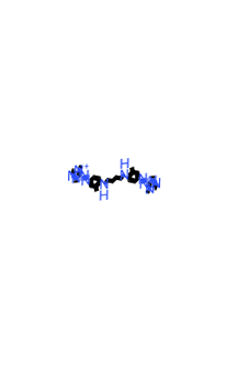 Cc1cc(N=Nc2n(C)nc[n+]2C)ccc1NCCCCNc1ccc(N=Nc2n(C)nc[n+]2C)cc1C